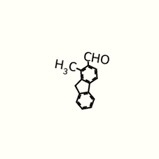 Cc1c(C=O)ccc2c1Cc1ccccc1-2